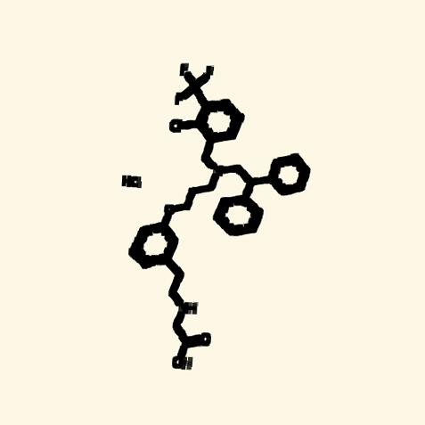 Cl.O=C(O)CNCCc1cccc(OCCCN(Cc2cccc(C(F)(F)F)c2Cl)CC(c2ccccc2)c2ccccc2)c1